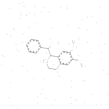 COc1cc2c(cc1OC)C(C(O)c1ccccc1)NCC2